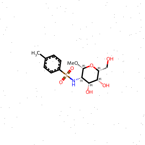 CO[C@@H]1O[C@H](CO)[C@H](O)[C@H](O)[C@@H]1NS(=O)(=O)c1ccc(C)cc1